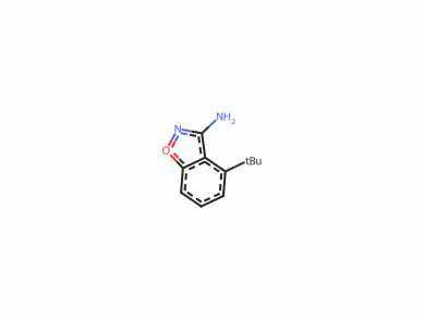 CC(C)(C)c1cccc2onc(N)c12